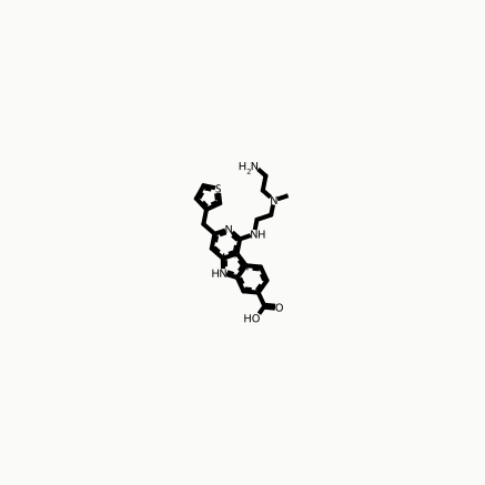 CN(CCN)CCNc1nc(Cc2ccsc2)cc2[nH]c3cc(C(=O)O)ccc3c12